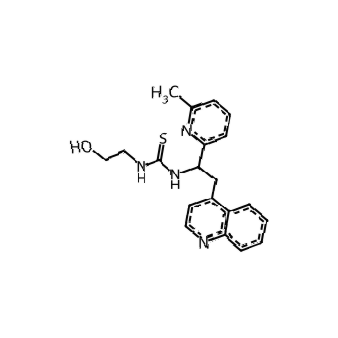 Cc1cccc(C(Cc2ccnc3ccccc23)NC(=S)NCCO)n1